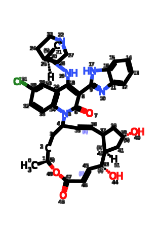 C[C@H]1CCC(n2c(=O)c(-c3nc4ccccc4[nH]3)c(N[C@@H]3CN4CCC3CC4)c3cc(Cl)ccc32)/C=C/C2C[C@H](O)C[C@H]2[C@H](O)/C=C/C(=O)O1